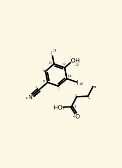 CCCC(=O)O.N#Cc1cc(I)c(O)c(I)c1